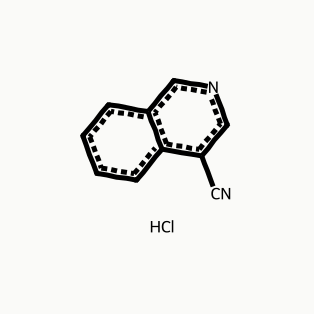 Cl.N#Cc1cncc2ccccc12